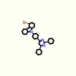 Brc1cccc2c1c1ccccc1n2-c1ccc(-c2cc(-c3ccccc3)nc(-c3ccccc3)n2)cc1